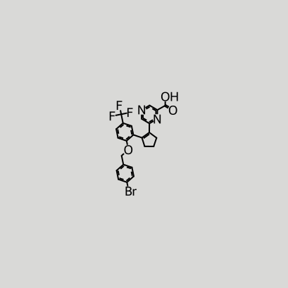 O=C(O)c1cncc(C2=C(c3cc(C(F)(F)F)ccc3OCc3ccc(Br)cc3)CCC2)n1